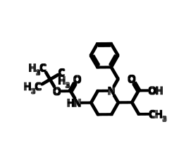 CCC(C(=O)O)C1CCC(NC(=O)OC(C)(C)C)CN1Cc1ccccc1